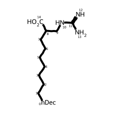 CCCCCCCCCCCCCCCCCC(CNC(=N)N)C(=O)O